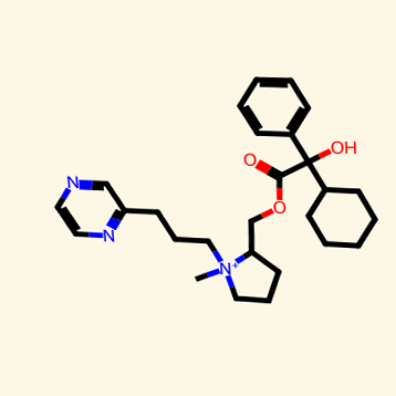 C[N+]1(CCCc2cnccn2)CCCC1COC(=O)C(O)(c1ccccc1)C1CCCCC1